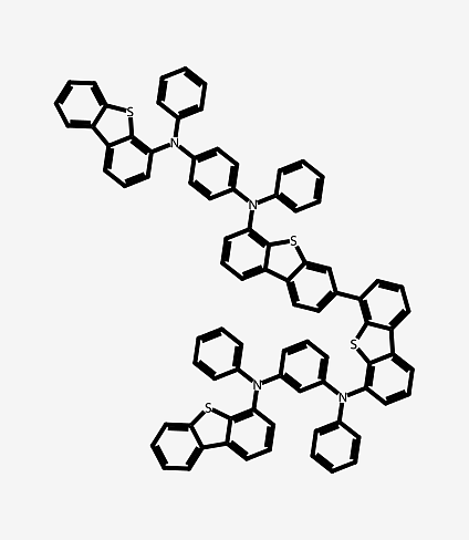 c1ccc(N(c2ccc(N(c3ccccc3)c3cccc4c3sc3cc(-c5cccc6c5sc5c(N(c7ccccc7)c7cccc(N(c8ccccc8)c8cccc9c8sc8ccccc89)c7)cccc56)ccc34)cc2)c2cccc3c2sc2ccccc23)cc1